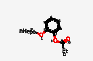 CCCCCCCOc1ccccc1OC(=O)CC